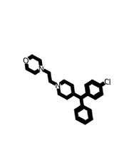 Clc1ccc(C(c2ccccc2)C2CCN(CCN3CCOCC3)CC2)cc1